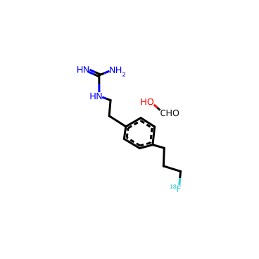 N=C(N)NCCc1ccc(CCC[18F])cc1.O=CO